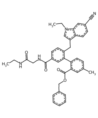 CCNC(=O)CNC(=O)c1ccc(Cc2cn(CC)c3cc(C#N)ccc23)c(-c2ccc(C)cc2C(=O)OCc2ccccc2)c1